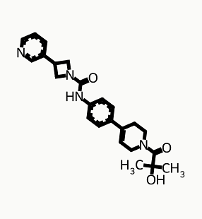 CC(C)(O)C(=O)N1CC=C(c2ccc(NC(=O)N3CC(c4cccnc4)C3)cc2)CC1